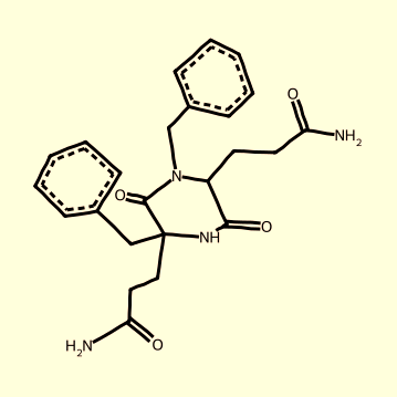 NC(=O)CCC1C(=O)NC(CCC(N)=O)(Cc2ccccc2)C(=O)N1Cc1ccccc1